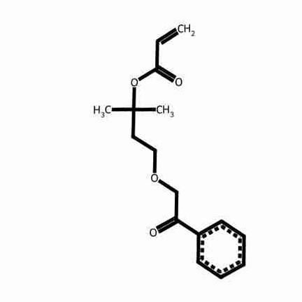 C=CC(=O)OC(C)(C)CCOCC(=O)c1ccccc1